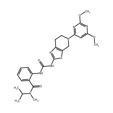 COc1cc(N2CCc3nc(NC(=O)Nc4ccccc4C(=O)N(C)C(C)C)sc3C2)nc(OC)n1